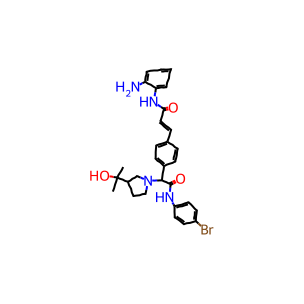 CC(C)(O)C1CCN(C(C(=O)Nc2ccc(Br)cc2)c2ccc(/C=C/C(=O)Nc3ccccc3N)cc2)C1